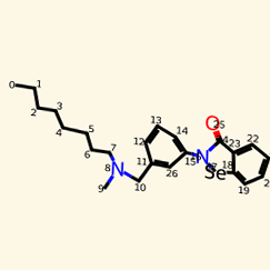 CCCCCCCCN(C)Cc1cccc(-n2[se]c3ccccc3c2=O)c1